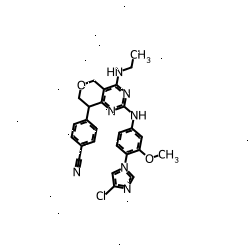 CCNc1nc(Nc2ccc(-n3cnc(Cl)c3)c(OC)c2)nc2c1COCC2c1ccc(C#N)cc1